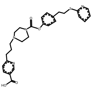 O=C(O)c1ccc(CCCN2CCN(C(=O)Oc3ccc(CCSc4ccccn4)cc3)CC2)nc1